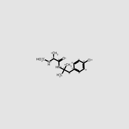 C[C@H](NC(=O)O)C(=O)NC(C)(C)Cc1ccc(Cl)cc1